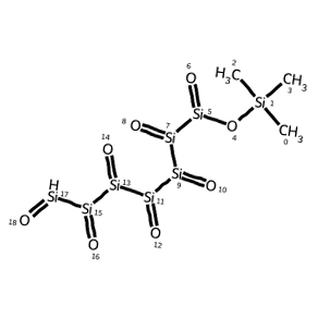 C[Si](C)(C)O[Si](=O)[Si](=O)[Si](=O)[Si](=O)[Si](=O)[Si](=O)[SiH]=O